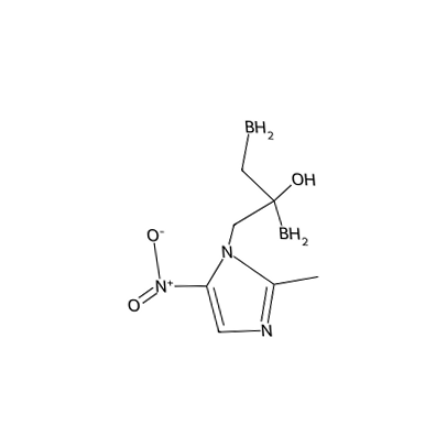 BCC(B)(O)Cn1c([N+](=O)[O-])cnc1C